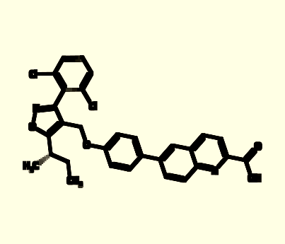 CC[C@H](C)c1onc(-c2c(Cl)cccc2Cl)c1COc1ccc(-c2ccc3nc(C(=O)O)ccc3c2)cc1